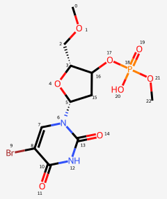 COC[C@H]1O[C@@H](n2cc(Br)c(=O)[nH]c2=O)CC1OP(=O)(O)OC